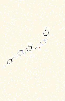 Cc1ccc(CN2CCN(C(=O)C=Cc3cc(C)c(Oc4ccc(OCc5ccc(Cl)cc5)cn4)c(Cl)c3)CC2)cc1.Cl